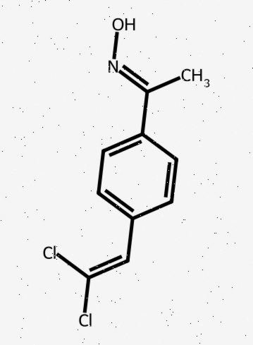 CC(=NO)c1ccc(C=C(Cl)Cl)cc1